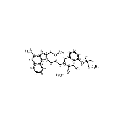 CCCOCc1nc2c(N)nc3ccccc3c2n1CCCN(Cc1cccc(OC(C)(C)C(=O)OCC)c1)C(=O)CCl.Cl